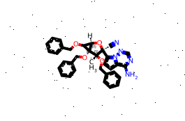 C[C@]1(OCc2ccccc2)[C@](C#N)(c2ccc3c(N)ncnn23)O[C@@H]2C(OCc3ccccc3)[C@@]21OCc1ccccc1